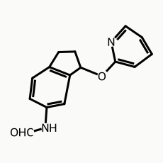 O=CNc1ccc2c(c1)C(Oc1ccccn1)CC2